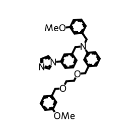 COc1cccc(COCCOCc2cccc(N(Cc3cccc(OC)c3)Cc3cccc(-n4ccnc4)c3)c2)c1